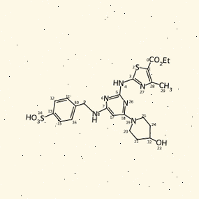 CCOC(=O)c1sc(Nc2nc(NCc3ccc(S(=O)(=O)O)cc3)cc(N3CCC(O)CC3)n2)nc1C